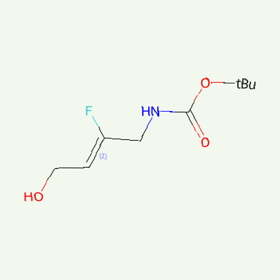 CC(C)(C)OC(=O)NC/C(F)=C/CO